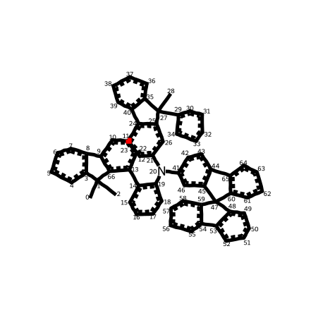 CC1(C)c2ccccc2-c2cccc(-c3ccccc3N(c3ccc4c(c3)C(C)(c3ccccc3)c3ccccc3-4)c3ccc4c(c3)C3(c5ccccc5-c5ccccc53)c3ccccc3-4)c21